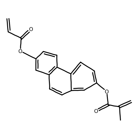 C=CC(=O)Oc1ccc2c(ccc3cc(OC(=O)C(=C)C)ccc32)c1